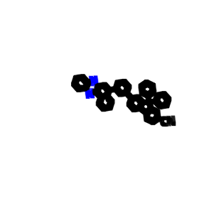 N#Cc1ccc2c(c1)C(c1ccccc1)(c1ccccc1)c1cc(-c3cccc(-c4cc5nc6ccccc6nc5c5ccccc45)c3)ccc1-2